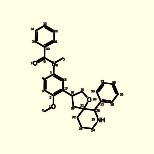 COc1ccc(N(C)C(=O)c2ccccc2)cc1C1COC2(CCCNC2c2ccccc2)C1